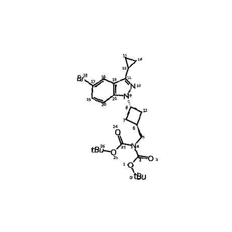 CC(C)(C)OC(=O)N(C[C@H]1C[C@H](n2nc(C3CC3)c3cc(Br)ccc32)C1)C(=O)OC(C)(C)C